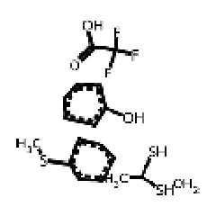 CC(S)S.CSc1ccccc1.O.O=C(O)C(F)(F)F.Oc1ccccc1